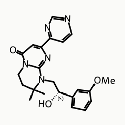 COc1cccc([C@H](O)CN2c3nc(-c4ccncn4)cc(=O)n3CCC2(C)C)c1